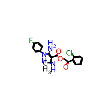 CC(=N)/C(C(=O)OCC(=O)c1ccccc1Cl)=C(/N)Nc1ccc(F)cc1